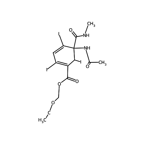 CCOCOC(=O)C1=C(I)C=C(I)C(NC(C)=O)(C(=O)NC)C1I